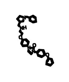 O=c1n(-c2ccc(OCCNCC3CCN(Cc4ccccc4)C3)cc2)ccn1-c1ccc(Oc2ccccc2)cc1